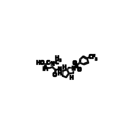 CC(C)C(C(=O)N[C@H]1CC[C@@H]2CN(S(=O)(=O)c3ccc(C(F)(F)F)cc3)C[C@@H]21)N(C)C(=O)O